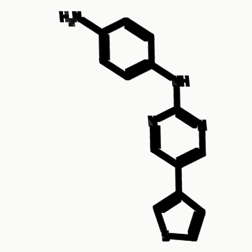 Nc1ccc(Nc2ncc(-c3ccsc3)cn2)cc1